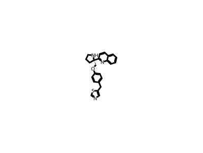 c1ccc2nc([C@@]3(COc4ccc(Cc5cncs5)cc4)CCCN3)ccc2c1